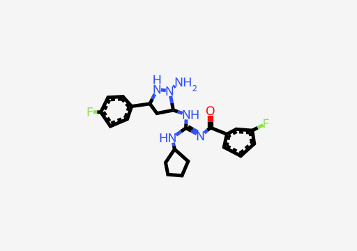 NN1NC(c2ccc(F)cc2)CC1N/C(=N\C(=O)c1cccc(F)c1)NC1CCCC1